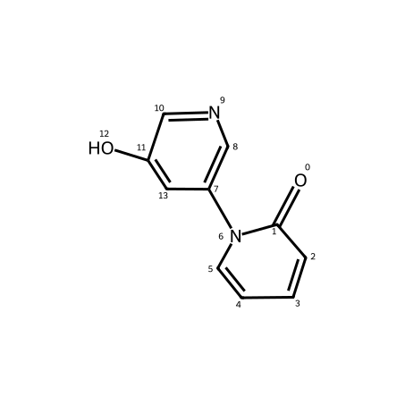 O=c1ccccn1-c1cncc(O)c1